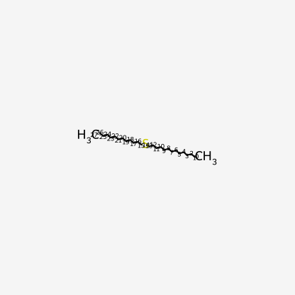 CCCCCCCCCCCCCCSCCCCCCCCCCCCC